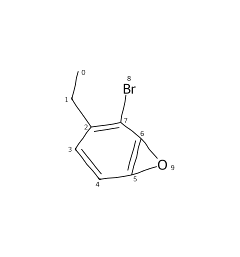 CCc1ccc2c(c1Br)O2